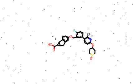 Cc1nc(OC2CC[S+]([O-])CC2)ccc1-c1ccc(F)c(COc2ccc3c(c2)CC2C(C(=O)O)C32)c1